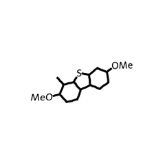 COC1CCC2C(C1)SC1C(C)C(OC)CCC21